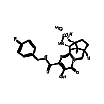 CC1(C)[C@@H]2CC[C@@]1(C)[C@@H](NC(=O)O)c1nc(C(=O)NCc3ccc(F)cc3)c(O)c(=O)n1C2.Cl